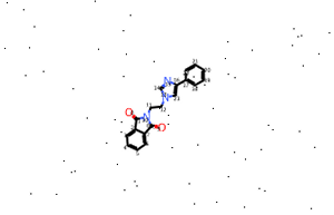 O=C1c2ccccc2C(=O)N1CCn1cnc(-c2ccccc2)c1